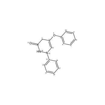 O=C1CC(Oc2ccccc2)=CN(c2ccccc2)N1